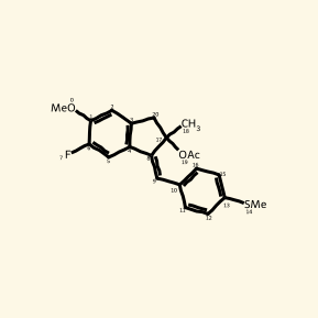 COc1cc2c(cc1F)C(=Cc1ccc(SC)cc1)C(C)(OC(C)=O)C2